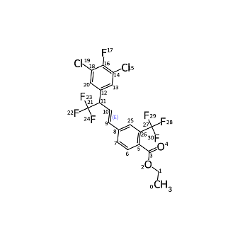 CCOC(=O)c1ccc(/C=C/C(c2cc(Cl)c(F)c(Cl)c2)C(F)(F)F)cc1C(F)(F)F